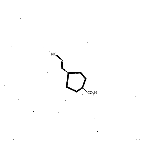 N#CSC[C@H]1CC[C@H](C(=O)O)CC1